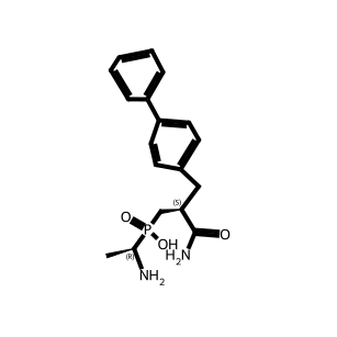 C[C@H](N)P(=O)(O)C[C@@H](Cc1ccc(-c2ccccc2)cc1)C(N)=O